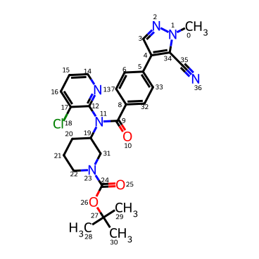 Cn1ncc(-c2ccc(C(=O)N(c3ncccc3Cl)C3CCCN(C(=O)OC(C)(C)C)C3)cc2)c1C#N